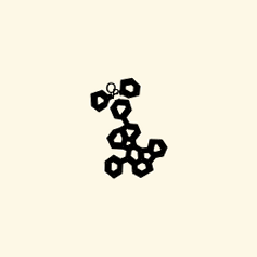 O=P(c1ccccc1)(c1ccccc1)c1ccc(-c2ccc3c4c2cccc4c2c(-c4ccccc4)c4cccc5c6ccccc6c(c45)c32)cc1